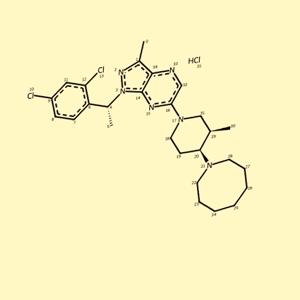 Cc1nn([C@H](C)c2ccc(Cl)cc2Cl)c2nc(N3CC[C@H](N4CCCCCCC4)[C@H](C)C3)cnc12.Cl